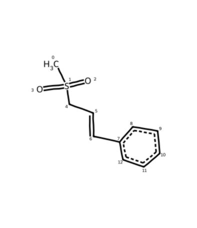 CS(=O)(=O)CC=Cc1ccccc1